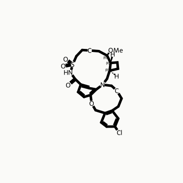 CO[C@@H]1CCCCS(=O)(=O)NC(=O)c2ccc3c(c2)N(CCCCc2cc(Cl)ccc2CO3)C[C@@H]2CC[C@H]21